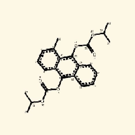 Cc1cccc2c(OC(=O)OC(C)C)c3ccccc3c(OC(=O)OC(C)C)c12